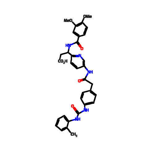 COc1ccc(C(=O)NC(CC(=O)O)c2ccc(NC(=O)Cc3ccc(NC(=O)Nc4ccccc4C)cc3)cn2)cc1OC